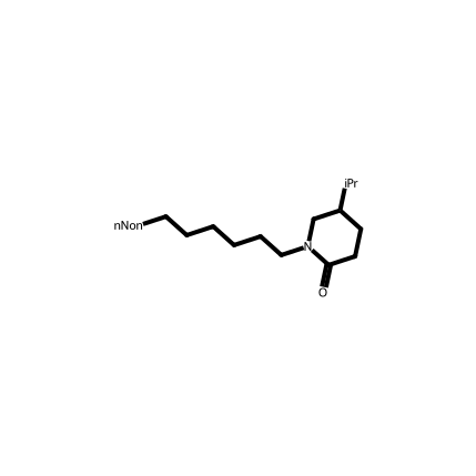 CCCCCCCCCCCCCCCN1CC(C(C)C)CCC1=O